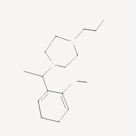 COC1=CCCC=C1C(I)N1CCN(CCO)CC1